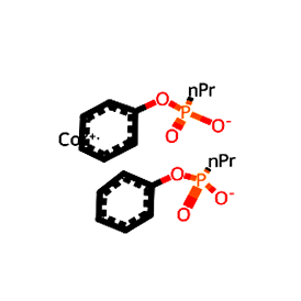 CCCP(=O)([O-])Oc1ccccc1.CCCP(=O)([O-])Oc1ccccc1.[Co+2]